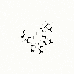 CCCC(=O)N(C)C(CCl)C(=O)N(C)[C@@H](CC(C)C)C(=O)N[C@H](C(=O)N(C)[C@@H](CC(C)C)C(=O)N[C@@H](C)C(=O)N[C@H](C)C(=O)N(C)[C@@H](CC(C)C)C(=O)NC)C(C)C